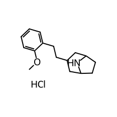 COc1ccccc1CCC1CC2CCC(C1)N2.Cl